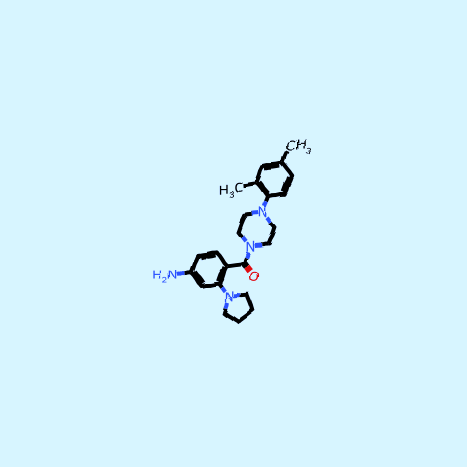 Cc1ccc(N2CCN(C(=O)c3ccc(N)cc3N3CCCC3)CC2)c(C)c1